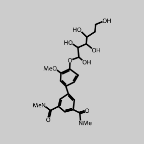 CNC(=O)c1cc(C(=O)NC)cc(-c2ccc(OC(O)C(O)C(O)C(O)CCO)c(OC)c2)c1